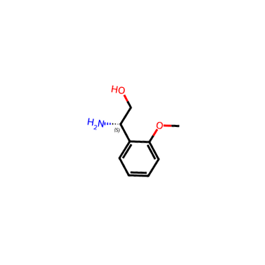 COc1ccccc1[C@H](N)CO